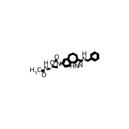 CC(=O)NC[C@H]1CN(c2ccc3c(c2)CCCc2c(NCc4ccccc4)n[nH]c2-3)C(=O)O1